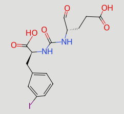 O=C[C@H](CCC(=O)O)NC(=O)N[C@@H](Cc1cccc(I)c1)C(=O)O